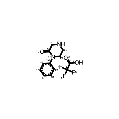 O=C(O)C(F)(F)F.O=C1CNCCN1c1ccccc1